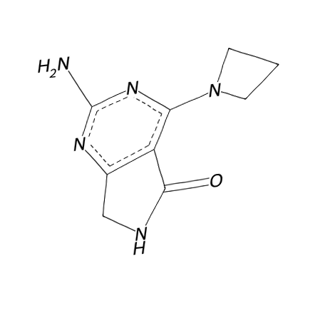 Nc1nc2c(c(N3CCC3)n1)C(=O)NC2